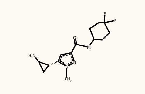 Cn1nc(C(=O)NC2CCC(F)(F)CC2)cc1[C@@H]1C[C@H]1N